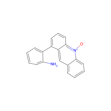 Nc1ccccc1-c1cccc2c1cc1ccccc1[n+]2[O-]